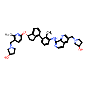 COc1nc(O[C@H]2CCc3c(-c4cccc(Nc5nccc6cc(CN7CC[C@@H](O)C7)cnc56)c4C)cccc32)ccc1CN1CC[C@@H](O)C1